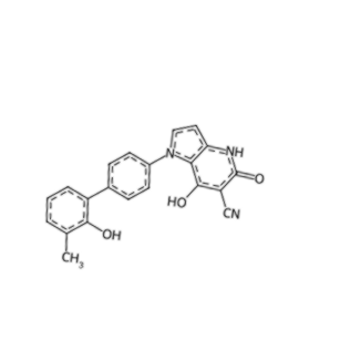 Cc1cccc(-c2ccc(-n3ccc4[nH]c(=O)c(C#N)c(O)c43)cc2)c1O